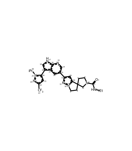 CCNC(=O)N1CCC2(CCn3nc(-c4cnc5[nH]cc(-c6cc(C(F)(F)F)nn6C(C)C)c5c4)cc32)C1